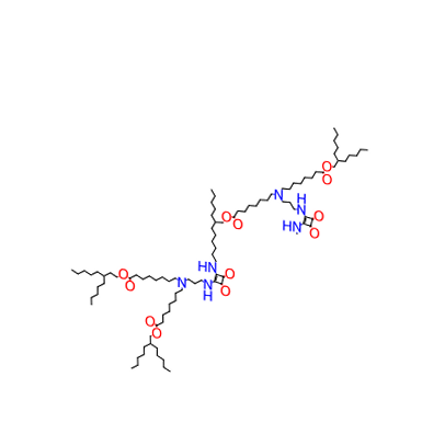 CCCCCC(CCCCC)CCOC(=O)CCCCCCCN(CCCCCCCC(=O)OCC(CCCCC)CCCCC)CCCNc1c(NCCCCCCC(CCCCC)COC(=O)CCCCCCCN(CCCCCCCC(=O)OCC(CCCCC)CCCCC)CCCNc2c(NC)c(=O)c2=O)c(=O)c1=O